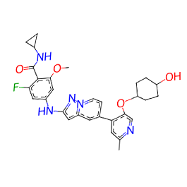 COc1cc(Nc2cc3cc(-c4cc(C)ncc4OC4CCC(O)CC4)ccn3n2)cc(F)c1C(=O)NC1CC1